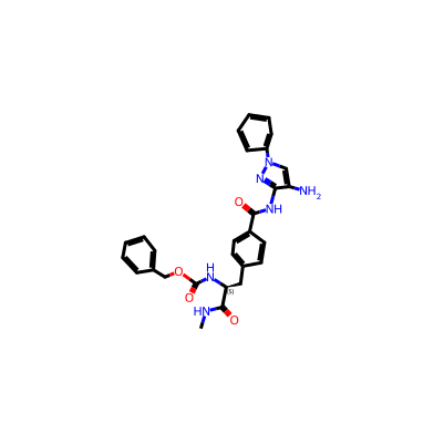 CNC(=O)[C@H](Cc1ccc(C(=O)Nc2nn(-c3ccccc3)cc2N)cc1)NC(=O)OCc1ccccc1